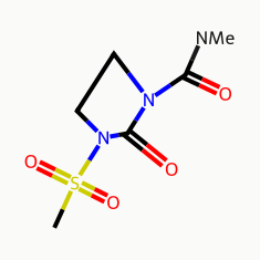 CNC(=O)N1CCN(S(C)(=O)=O)C1=O